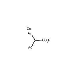 CC(=O)C(C(C)=O)C(=O)O.[Co]